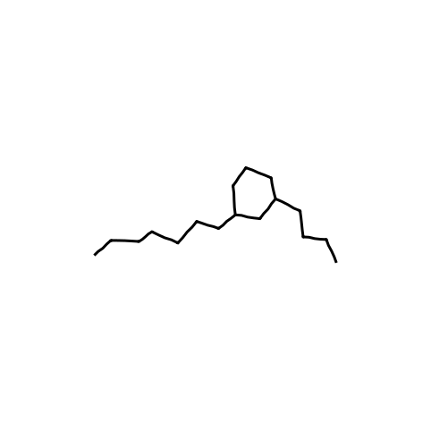 CCCCCCCC1CCCC(CCCC)C1